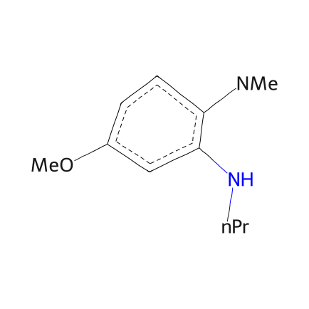 CCCNc1cc(OC)ccc1NC